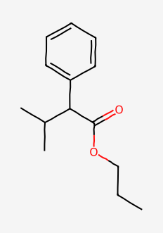 CCCOC(=O)C(c1ccccc1)C(C)C